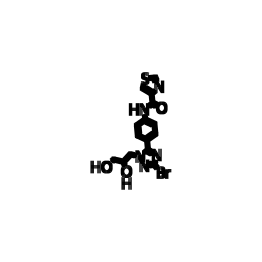 O=C(Nc1ccc(-c2nc(Br)nn2CC(O)CO)cc1)c1cscn1